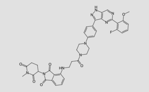 COc1cccc(F)c1-c1ncc2[nH]nc(-c3ccc(N4CCN(C(=O)CCNc5cccc6c5C(=O)N(C5CCC(=O)N(C)C5=O)C6=O)CC4)cc3)c2n1